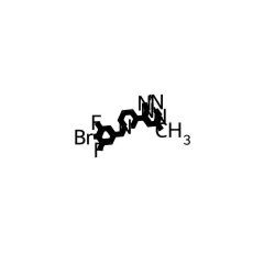 Cc1cc(C2CCCN(Cc3cc(F)c(Br)c(F)c3)C2)n2ncnc2n1